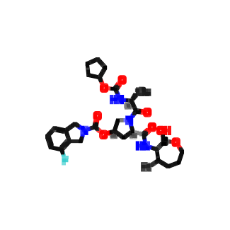 CCC1CCCOB(O)C1NC(=O)[C@@H]1C[C@@H](OC(=O)N2Cc3cccc(F)c3C2)CN1C(=O)[C@@H](NC(=O)OC1CCCC1)C(C)(C)C